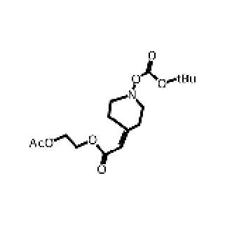 CC(=O)OCCOC(=O)C=C1CCN(OC(=O)OC(C)(C)C)CC1